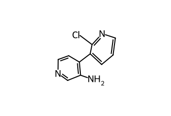 Nc1cnccc1-c1cccnc1Cl